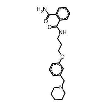 NC(=O)c1ccccc1C(=O)NCCCOc1cccc(CN2CCCCC2)c1